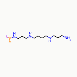 NCCCNCCCCNCCCNPI